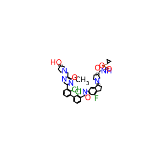 COc1nc(-c2cccc(-c3cccc(-c4nc5cc6c(c(F)c5o4)CC[C@H]6N4CC[C@@H](C(=O)NS(=O)(=O)C5CC5)C4)c3Cl)c2Cl)cnc1CN1CC[C@@H](O)C1